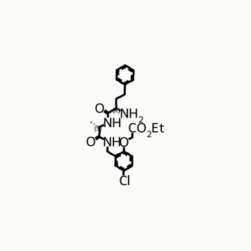 CCOC(=O)COc1ccc(Cl)cc1CNC(=O)[C@H](C)NC(=O)[C@H](N)CCc1ccccc1